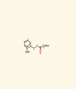 CCCC1C2C=CC(C2)C1CCC(=O)OC